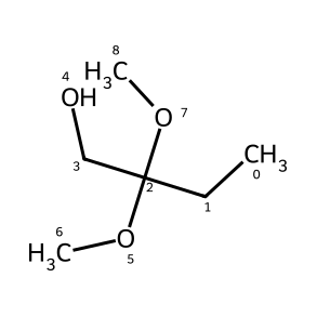 CCC(CO)(OC)OC